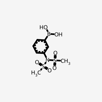 CS(=O)(=O)N(c1cccc(B(O)O)c1)S(C)(=O)=O